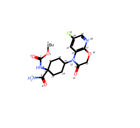 CC(C)(C)OC(=O)NC1(C(N)=O)CCC(N2C(=O)COc3ncc(F)cc32)CC1